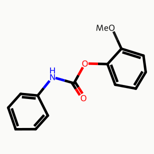 COc1ccccc1OC(=O)Nc1ccccc1